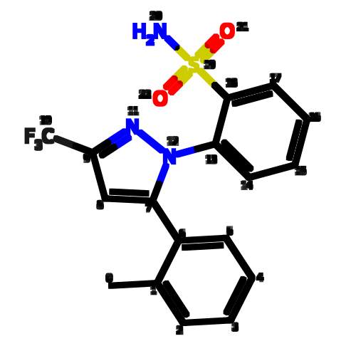 Cc1ccccc1-c1cc(C(F)(F)F)nn1-c1ccccc1S(N)(=O)=O